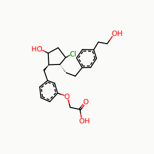 O=C(O)COc1cccc(C[C@H]2C(O)CC(Cl)[C@@H]2CCc2ccc(CCO)cc2)c1